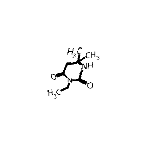 CCN1C(=O)CC(C)(C)NC1=O